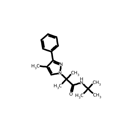 Cc1cn(C(C)(C)C(=O)NC(C)(C)C)nc1-c1ccccc1